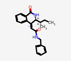 CC[C@H](C)[C@@H]1NC(=O)c2ccccc2/C1=C/C(=O)NCc1ccccc1